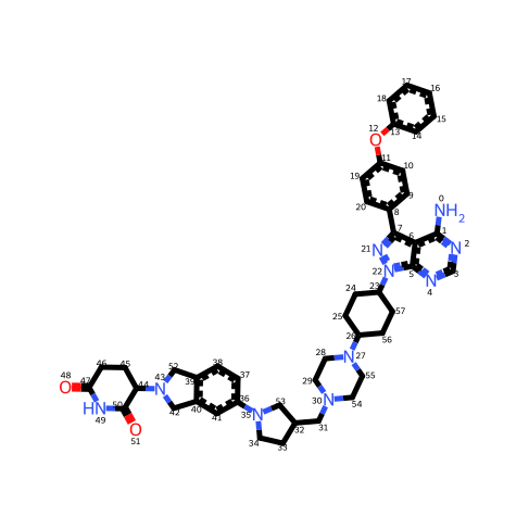 Nc1ncnc2c1c(-c1ccc(Oc3ccccc3)cc1)nn2C1CCC(N2CCN(CC3CCN(c4ccc5c(c4)CN(C4CCC(=O)NC4=O)C5)C3)CC2)CC1